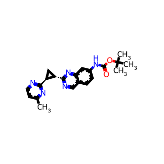 Cc1ccnc([C@H]2C[C@@H]2c2ncc3ccc(NC(=O)OC(C)(C)C)cc3n2)n1